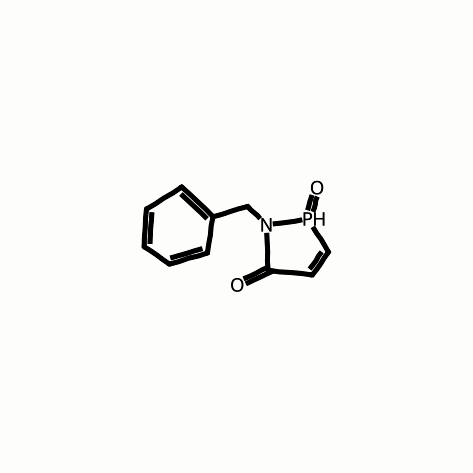 O=C1C=C[PH](=O)N1Cc1ccccc1